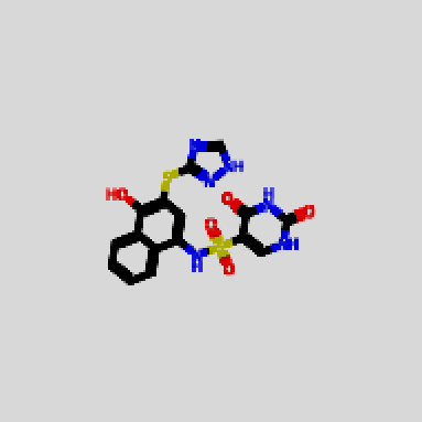 O=c1[nH]cc(S(=O)(=O)Nc2cc(Sc3nc[nH]n3)c(O)c3ccccc23)c(=O)[nH]1